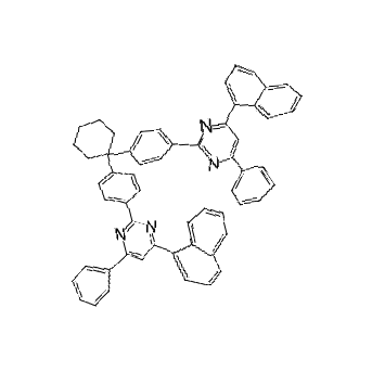 c1ccc(-c2cc(-c3cccc4ccccc34)nc(-c3ccc(C4(c5ccc(-c6nc(-c7ccccc7)cc(-c7cccc8ccccc78)n6)cc5)CCCCC4)cc3)n2)cc1